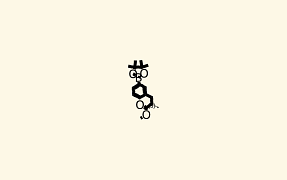 COC(=O)[C@@H](C)Cc1cccc(B2OC(C)(C)C(C)(C)O2)c1